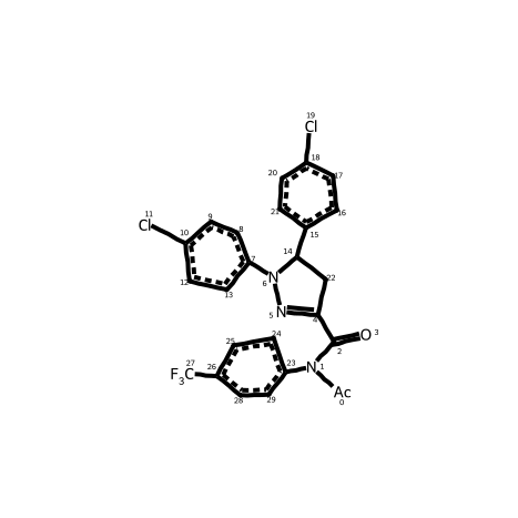 CC(=O)N(C(=O)C1=NN(c2ccc(Cl)cc2)C(c2ccc(Cl)cc2)C1)c1ccc(C(F)(F)F)cc1